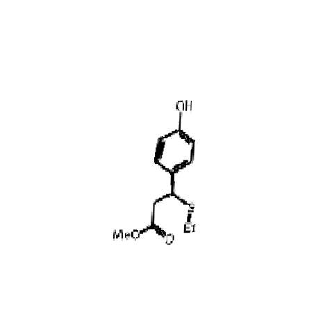 CCSC(CC(=O)OC)c1ccc(O)cc1